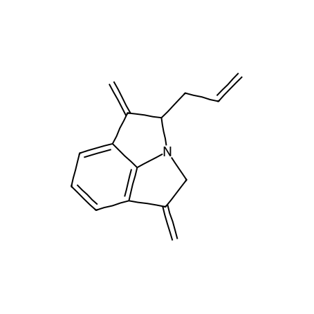 C=CCC1C(=C)c2cccc3c2N1CC3=C